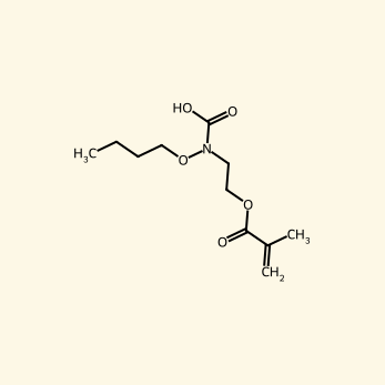 C=C(C)C(=O)OCCN(OCCCC)C(=O)O